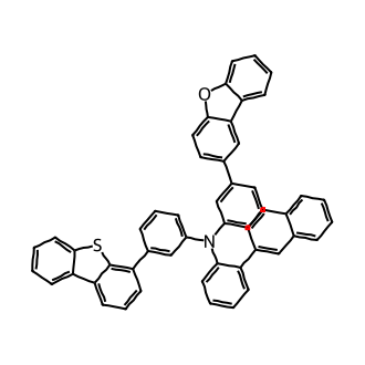 c1cc(-c2ccc3oc4ccccc4c3c2)cc(N(c2cccc(-c3cccc4c3sc3ccccc34)c2)c2ccccc2-c2ccc3ccccc3c2)c1